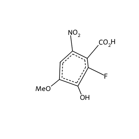 COc1cc([N+](=O)[O-])c(C(=O)O)c(F)c1O